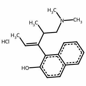 CC=C(c1c(O)ccc2ccccc12)C(C)CN(C)C.Cl